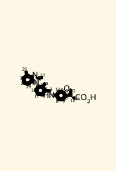 Cc1c(CNc2ccc3c(c2)OC[C@H]3CC(=O)O)cccc1-n1c(C)nc2c(C)cccc21